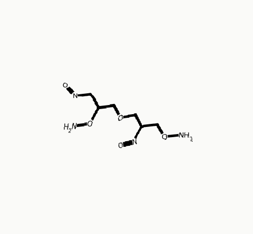 NOCC(COCC(CN=O)ON)N=O